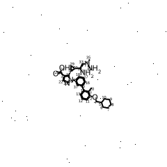 Cc1c(OCC2CCCCC2)cccc1-c1cccc(-n2ncc(C(=O)O)c2[C@H]2CC2/C(N)=C/N(C)N)c1